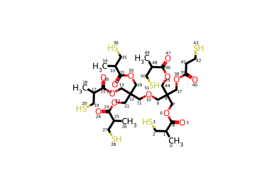 CC(CS)C(=O)OCC(COCC(COC(=O)C(C)CS)(COC(=O)C(C)CS)COC(=O)C(C)CS)(COC(=O)CCS)COC(=O)C(C)CS